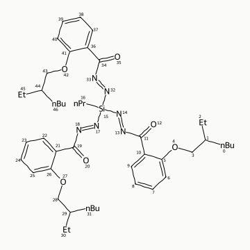 CCCCC(CC)COc1ccccc1C(=O)N=N[Si](CCC)(N=NC(=O)c1ccccc1OCC(CC)CCCC)N=NC(=O)c1ccccc1OCC(CC)CCCC